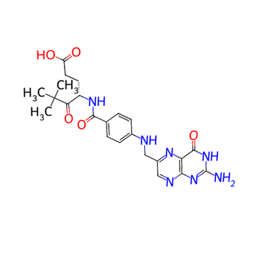 CC(C)(C)C(=O)[C@H](CCC(=O)O)NC(=O)c1ccc(NCc2cnc3nc(N)[nH]c(=O)c3n2)cc1